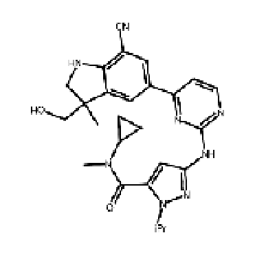 CC(C)n1nc(Nc2nccc(-c3cc(C#N)c4c(c3)C(C)(CO)CN4)n2)cc1C(=O)N(C)C1CC1